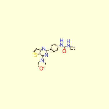 CCNC(=O)Nc1ccc(-c2nc(N3CCOCC3)c3sccc3n2)cc1